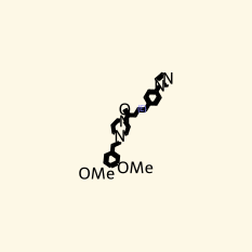 COc1ccc(CCN2CCCN(C(=O)C/C=C/c3ccc(-n4ccnc4)cc3)CC2)cc1OC